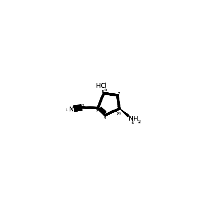 Cl.N#CC1=C[C@H](N)CC1